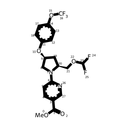 COC(=O)c1ccc(N2C[C@@H](Oc3ccc(OC(F)(F)F)cc3)C[C@H]2COC(F)F)nc1